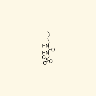 CCCCNC(=O)NCS(=O)(=O)OC